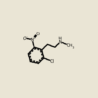 CNCCc1c(Cl)cccc1[N+](=O)[O-]